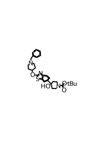 CC(C)(C)OC(=O)N1CCC(O)(c2ccc3nc(OC4CCN(Cc5ccccc5)CC4)sc3c2)CC1